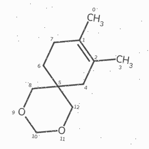 CC1=C(C)CC2(CC1)COCOC2